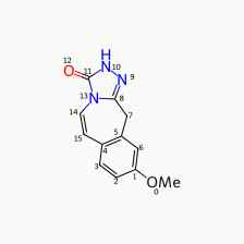 COc1ccc2c(c1)Cc1n[nH]c(=O)n1C=C2